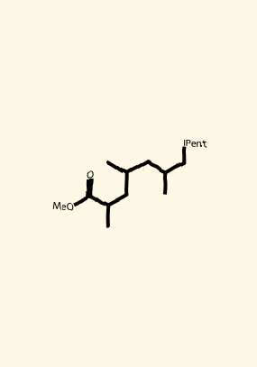 CCCC(C)CC(C)CC(C)CC(C)C(=O)OC